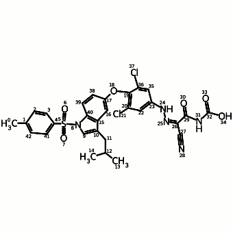 Cc1ccc(S(=O)(=O)n2cc(CC(C)C)c3cc(Oc4c(Cl)cc(N/N=C(/C#N)C(=O)NC(=O)O)cc4Cl)ccc32)cc1